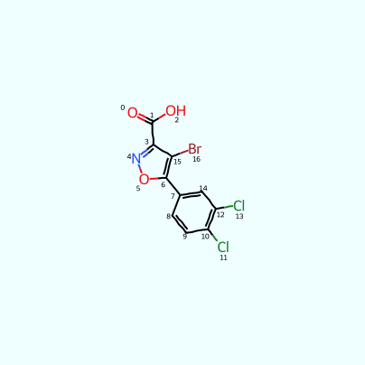 O=C(O)c1noc(-c2ccc(Cl)c(Cl)c2)c1Br